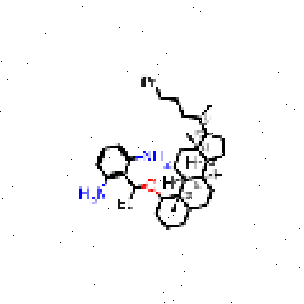 CCC(OC1CCCC2CC[C@@H]3[C@H](CC[C@]4(C)[C@@H]([C@H](C)CCCC(C)C)CC[C@@H]34)[C@]21C)c1c(N)cccc1N